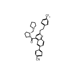 N#Cc1ccc(-c2ccc3nc(CCc4ccc(C(F)(F)F)cc4)cc(C(=O)N4CCC[C@H]4CN4CCCC4)c3c2)cc1